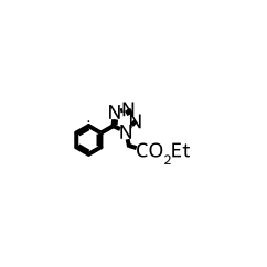 CCOC(=O)Cn1nnnc1-c1[c]cccc1